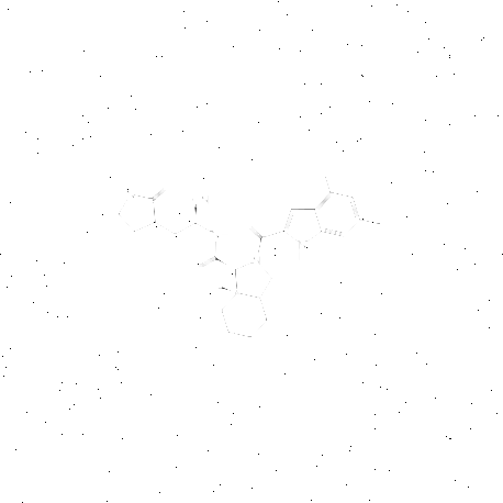 N#C[C@H](CC1CCNC1=O)NC(=O)[C@@H]1[C@H]2CCCCC2CN1C(=O)c1cc2c(F)cc(F)cc2[nH]1